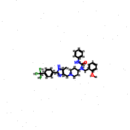 COc1ccccc1CN(C(=O)Nc1ccccc1)C1CCN(Cc2nc(-c3ccc(C(F)(F)F)cc3)[nH]c2C)CC1